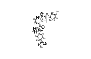 [2H]C([2H])(NC(=O)c1cc(C(=O)NCc2cccc(C)c2)ncn1)c1ccc(C(=O)OC)cc1